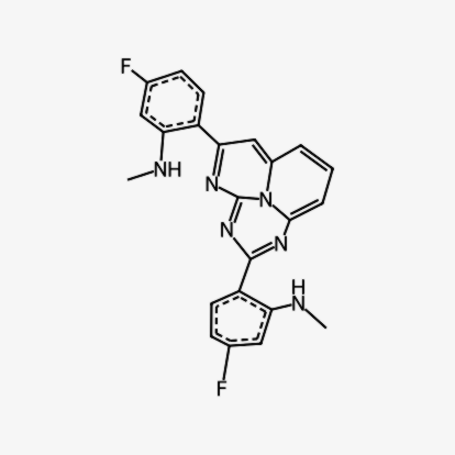 CNc1cc(F)ccc1C1=NC2=NC(c3ccc(F)cc3NC)=NC3=CC=CC(=C1)N32